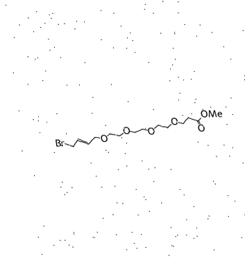 COC(=O)CCOCCOCCOCCOCC=CCBr